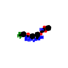 Nc1n[nH]c2c(OCCNS(=O)(=O)c3ccccc3)ccc(-c3ccc(NC(=O)Nc4cccc(C(F)(F)F)c4)cc3)c12